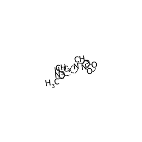 Cc1cc(C[C@H]2CCN(C(C)c3ccc4c(n3)OCCO4)C[C@@H]2C)cc(C)n1